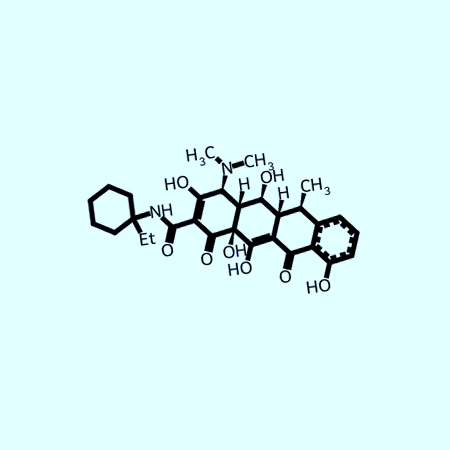 CCC1(NC(=O)C2=C(O)[C@@H](N(C)C)[C@@H]3[C@@H](O)[C@H]4C(=C(O)[C@]3(O)C2=O)C(=O)c2c(O)cccc2[C@@H]4C)CCCCC1